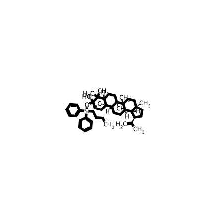 C=C(C)[C@@H]1CC[C@]2(C)CC[C@]3(C)[C@H](CC[C@@H]4[C@@]5(C)CCC(O)(O[Si](CCCC)(c6ccccc6)c6ccccc6)C(C)(C)[C@@H]5CC[C@]43C)[C@@H]12